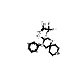 CC1COC2(CCNCC2)CN1c1ccccc1.O=C(O)C(F)(F)F